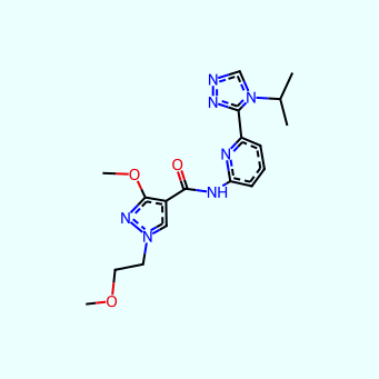 COCCn1cc(C(=O)Nc2cccc(-c3nncn3C(C)C)n2)c(OC)n1